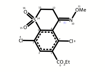 CCOC(=O)c1cc(Cl)c2c(c1Cl)/C(=N/OC)CCS2(=O)=O